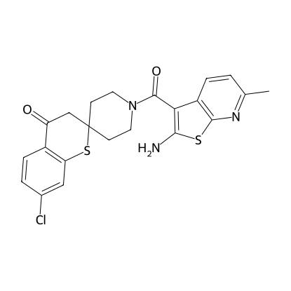 Cc1ccc2c(C(=O)N3CCC4(CC3)CC(=O)c3ccc(Cl)cc3S4)c(N)sc2n1